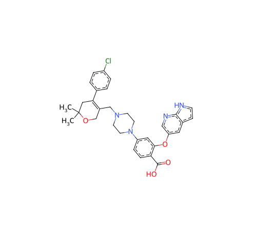 CC1(C)CC(c2ccc(Cl)cc2)=C(CN2CCN(c3ccc(C(=O)O)c(Oc4cnc5[nH]ccc5c4)c3)CC2)CO1